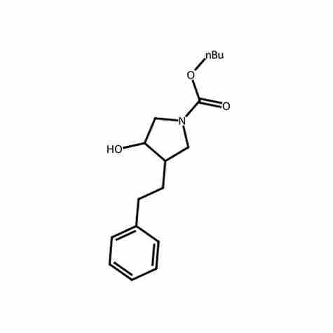 CCCCOC(=O)N1CC(O)C(CCc2ccccc2)C1